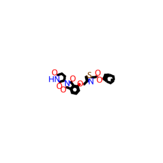 O=C1CCC(N2C(=O)c3cccc(OCc4csc(C(=O)OC56CC7CC(CC5C7)C6)n4)c3C2=O)C(=O)N1